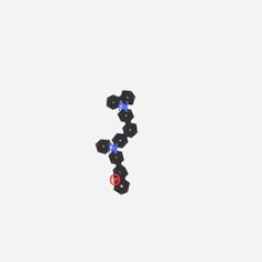 c1ccc(N(c2ccc(-c3cccc(-c4ccc(-n5c6ccccc6c6ccccc65)cc4)c3)cc2)c2ccc(-c3ccc4c(c3)oc3ccccc34)cc2)cc1